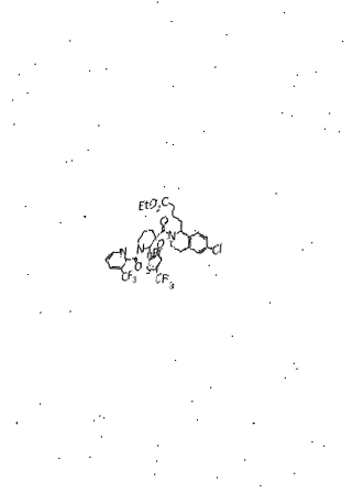 CCC[C@H]1N(C(=O)c2ncccc2C(F)(F)F)CCC[C@@]1(Oc1csc(C(F)(F)F)c1)C(=O)N1CCc2cc(Cl)ccc2C1CCCC(=O)OCC